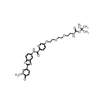 Cn1nc(-c2nc3cc(NC(=O)c4ccc(OCCOCCOCCNC(=O)OC(C)(C)C)cn4)ccc3o2)ccc1=O